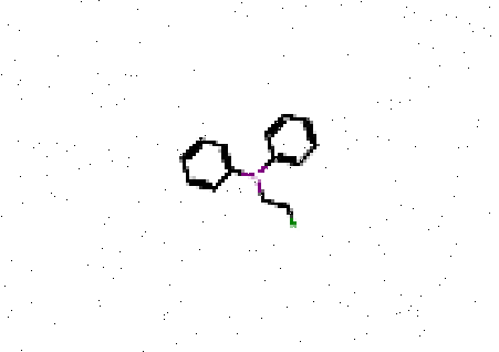 ClCCP(c1ccccc1)c1ccccc1